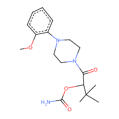 COc1ccccc1N1CCN(C(=O)C(OC(N)=O)C(C)(C)C)CC1